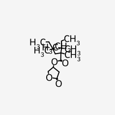 CCC(C)(C)CC(C)(C(=O)OC1COC(=O)C1)C(C)(C)CC